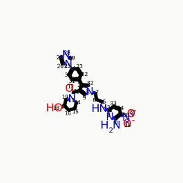 Nc1nc(NCCCn2cc(C(=O)N3CCCC(O)C3)c(-c3ccc(-n4ccnc4)cc3)c2)ccc1[N+](=O)[O-]